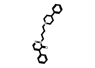 O=c1c(-c2ccccc2)ccnn1CCCCN1CCC(c2ccccc2)CC1